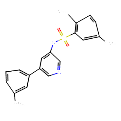 COc1cccc(-c2cncc(NS(=O)(=O)c3cc(OC)ccc3OC)c2)c1